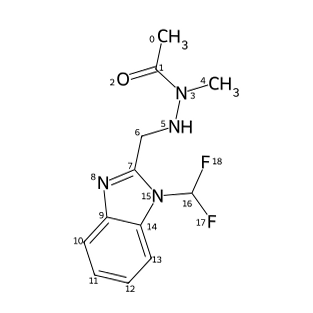 CC(=O)N(C)NCc1nc2ccccc2n1C(F)F